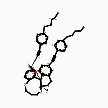 CCCCCc1ccc(C#Cc2ccc3c(c2)CC[C@H]2OCCCOc4ccc5c(c4[C@@H]32)CC[C@H](C#Cc2ccc(CCCCC)cc2)C5)cc1